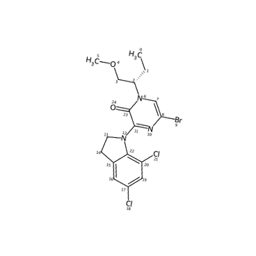 CC[C@@H](COC)n1cc(Br)nc(N2CCc3cc(Cl)cc(Cl)c32)c1=O